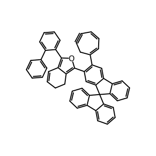 C1#CCC(c2cc3c(cc2-c2oc(-c4ccccc4-c4ccccc4)c4c2CCC=C4)C2(c4ccccc4-c4ccccc42)c2ccccc2-3)=CC=C1